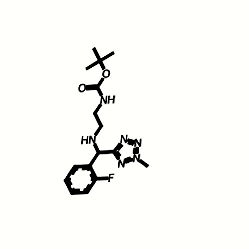 Cn1nnc(C(NCCNC(=O)OC(C)(C)C)c2ccccc2F)n1